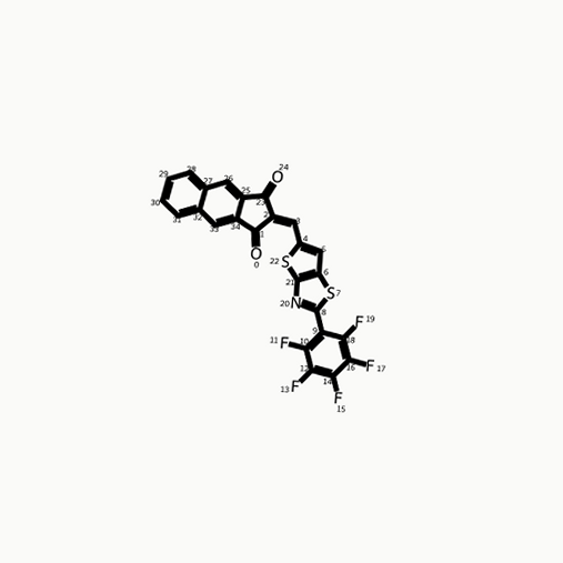 O=C1C(=Cc2cc3sc(-c4c(F)c(F)c(F)c(F)c4F)nc3s2)C(=O)c2cc3ccccc3cc21